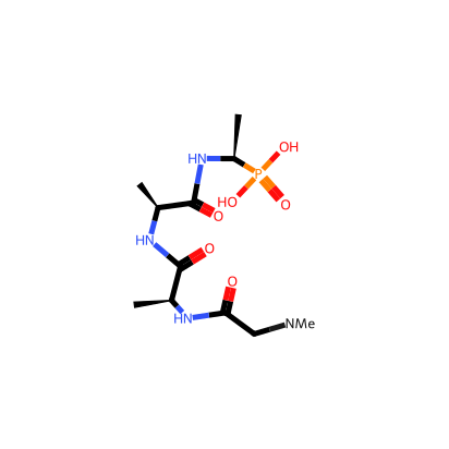 CNCC(=O)N[C@@H](C)C(=O)N[C@@H](C)C(=O)N[C@@H](C)P(=O)(O)O